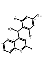 Cc1nc(C(N)c2c(Br)cc(N)cc2Br)c2ccccc2n1